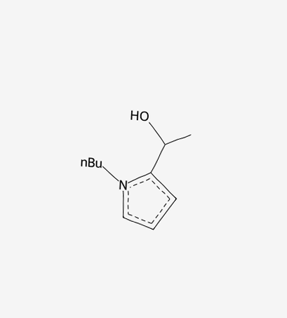 CCCCn1cccc1C(C)O